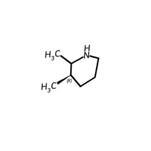 CC1NCCC[C@H]1C